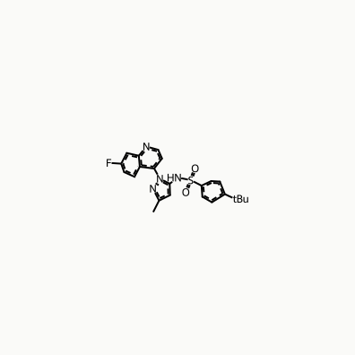 Cc1cc(NS(=O)(=O)c2ccc(C(C)(C)C)cc2)n(-c2ccnc3cc(F)ccc23)n1